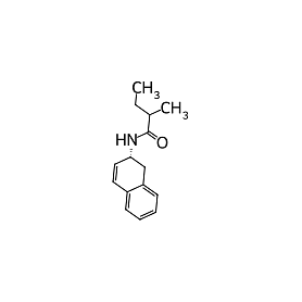 CCC(C)C(=O)N[C@H]1C=Cc2ccccc2C1